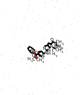 CN(C)C(=O)c1cc2cnc(Nc3ccc(C(=O)N4CC5CCC(C4)N5C(=O)OC(C)(C)C)cn3)nc2n1C(C)(C)C